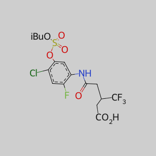 CC(C)COS(=O)(=O)Oc1cc(NC(=O)CC(CC(=O)O)C(F)(F)F)c(F)cc1Cl